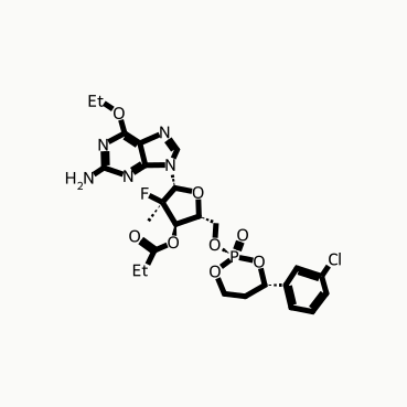 CCOc1nc(N)nc2c1ncn2[C@@H]1O[C@H](CO[P@@]2(=O)OCC[C@@H](c3cccc(Cl)c3)O2)[C@@H](OC(=O)CC)[C@@]1(C)F